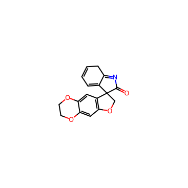 O=C1N=C2CC=CC=C2C12COc1cc3c(cc12)OCCO3